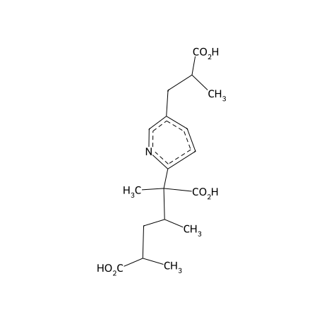 CC(Cc1ccc(C(C)(C(=O)O)C(C)CC(C)C(=O)O)nc1)C(=O)O